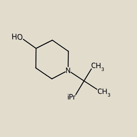 CC(C)C(C)(C)N1CCC(O)CC1